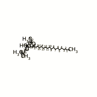 CCCCCCCCCCCCCCCCCCC(COP(O)OCCN(C)C)OC(=O)CC